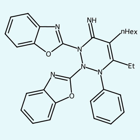 CCCCCCC1=C(CC)N(c2ccccc2)N(c2nc3ccccc3o2)N(c2nc3ccccc3o2)C1=N